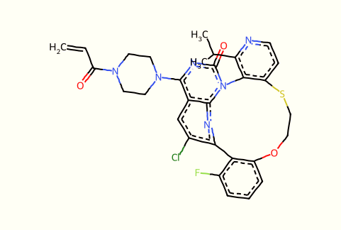 C=CC(=O)N1CCN(c2nc(=O)n3c4nc(c(Cl)cc24)-c2c(F)cccc2OCCSc2ccnc(C(C)C)c2-3)CC1